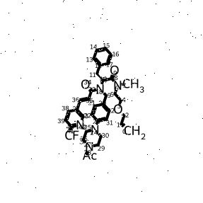 C=CCOCCN(C)C(=O)[C@H](Cc1ccccc1)N(Cc1ccc(N2CCN(C(C)=O)CC2)cc1)C(=O)C=Cc1ccc(C(F)(F)F)nc1